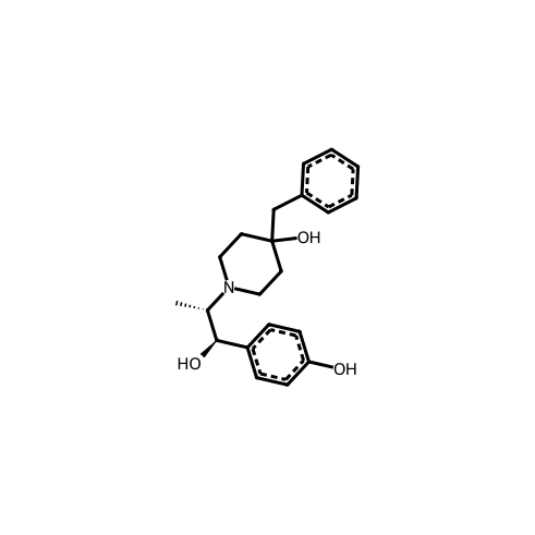 C[C@@H]([C@H](O)c1ccc(O)cc1)N1CCC(O)(Cc2ccccc2)CC1